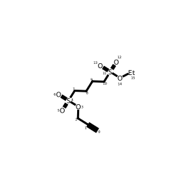 C#CCOS(=O)(=O)CCCCS(=O)(=O)OCC